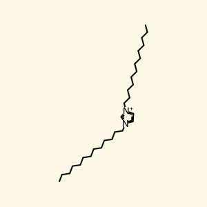 CCCCCCCCCCCCCn1cc[n+](CCCCCCCCCCCCC)c1